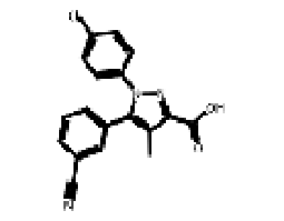 Cc1c(C(=O)O)nn(-c2ccc(Cl)cc2)c1-c1cccc(C#N)c1